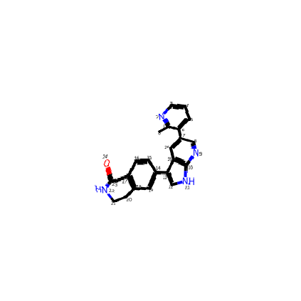 Cc1ncccc1-c1cnc2[nH]cc(-c3ccc4c(c3)CCNC4=O)c2c1